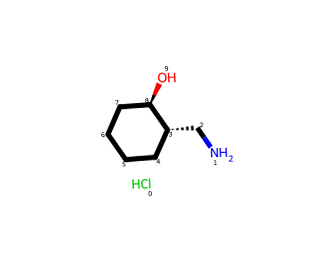 Cl.NC[C@@H]1CCCC[C@H]1O